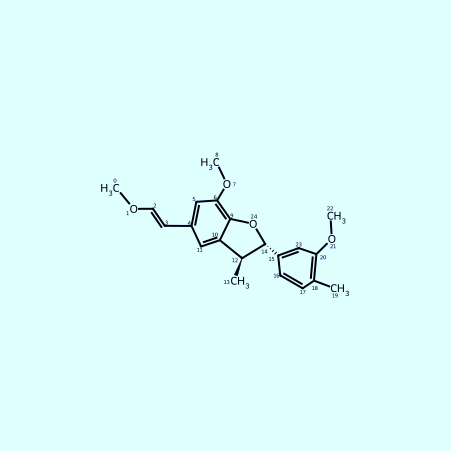 CO/C=C/c1cc(OC)c2c(c1)[C@H](C)[C@@H](c1ccc(C)c(OC)c1)O2